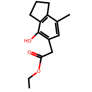 CCOC(=O)Cc1cc(C)c2c(c1O)CCC2